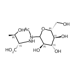 CC(=O)N(N[C@H](C(=O)O)[C@@H](C)O)C1O[C@H](CO)[C@@H](O)[C@H](O)[C@H]1O